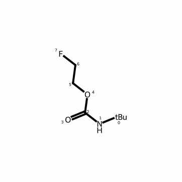 CC(C)(C)NC(=O)OCCF